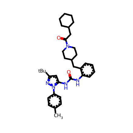 Cc1ccc(-n2nc(C(C)(C)C)cc2NC(=O)Nc2ccccc2CC2CCN(C(=O)CC3CCCCC3)CC2)cc1